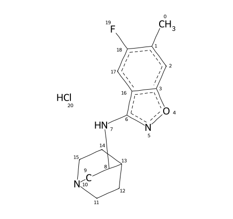 Cc1cc2onc(NC3CN4CCC3CC4)c2cc1F.Cl